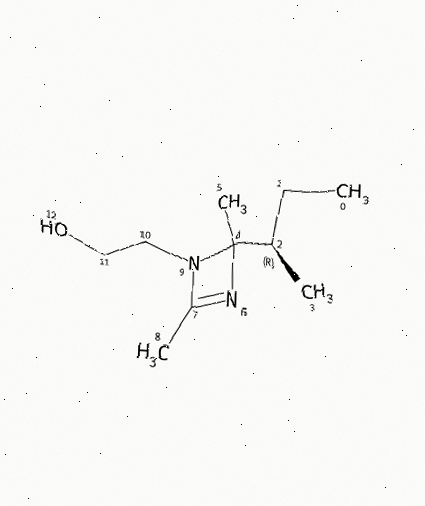 CC[C@@H](C)C1(C)N=C(C)N1CCO